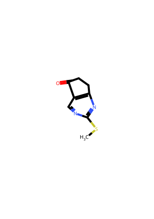 CSc1ncc2c(n1)CCC2=O